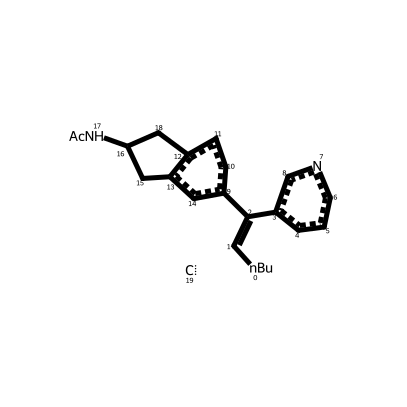 CCCCC=C(c1cccnc1)c1ccc2c(c1)CC(NC(C)=O)C2.[C]